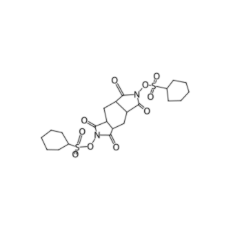 O=C1C2CC3C(=O)N(OS(=O)(=O)C4CCCCC4)C(=O)C3CC2C(=O)N1OS(=O)(=O)C1CCCCC1